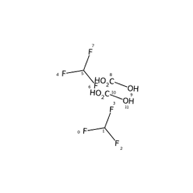 FC(F)F.FC(F)F.O=C(O)O.O=C(O)O